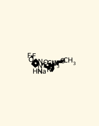 COCCCOc1ccnc(C[S+]([O-])c2nc3cc(OC(F)F)ccc3[nH]2)c1C.[NaH]